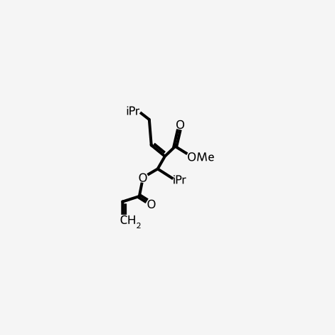 C=CC(=O)OC(C(=CCC(C)C)C(=O)OC)C(C)C